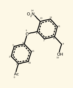 CC(=O)c1ccc(Oc2cc(CO)ccc2[N+](=O)[O-])cc1